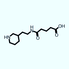 O=C(O)CCCC(=O)NCCC1CCCNC1